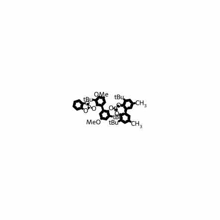 COc1cc(-c2cc(OC)cc(C(C)(C)C)c2Op2oc3c(C(C)(C)C)cc(C)cc3c3cc(C)cc(C(C)(C)C)c3o2)c(OP2Oc3ccccc3O2)c(C(C)(C)C)c1